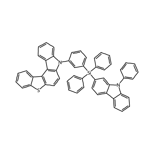 c1ccc(-n2c3ccccc3c3ccc([Si](c4ccccc4)(c4ccccc4)c4cccc(-n5c6ccccc6c6c7c(ccc65)sc5ccccc57)c4)cc32)cc1